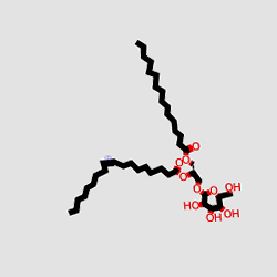 CCCCCCCC/C=C\CCCCCCCC(=O)O[C@H](COC(=O)CCCCCCCCCCCCCCC)COC1OC(CO)C(O)C(O)C1O